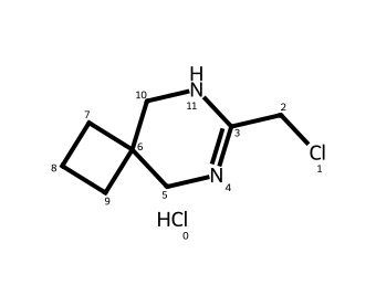 Cl.ClCC1=NCC2(CCC2)CN1